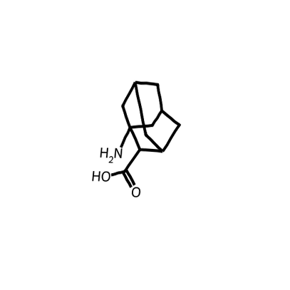 NC12CC3CC(CC(C3)C1C(=O)O)C2